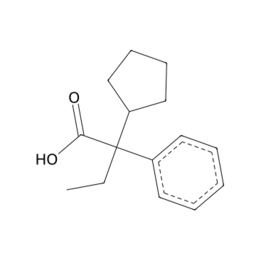 CCC(C(=O)O)(c1ccccc1)C1CCCC1